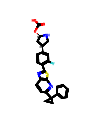 O=C(O)O[C@H]1C[C@H](c2ccc(-c3nc4ccc(C5(c6ccccc6)CC5)nc4s3)c(F)c2)CN1